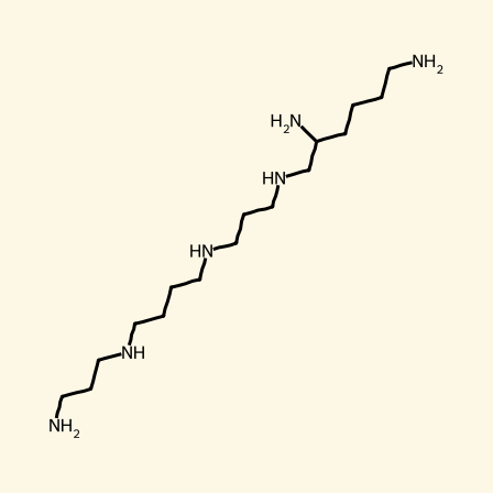 NCCCCC(N)CNCCCNCCCCNCCCN